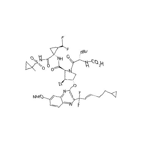 CC[C@@H]1[C@@H](Oc2nc3cc(OC)ccc3nc2C(F)(F)/C=C/CCC2CC2)CN(C(=O)[C@@H](NC(=O)O)C(C)(C)C)[C@@H]1C(=O)N[C@]1(C(=O)NS(=O)(=O)C2(C)CC2)C[C@H]1C(F)F